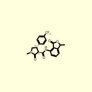 CC1OC(=O)c2c(NC(=O)[C@H]3C(=O)N(C)C[C@@H]3c3ccc(C(F)(F)F)cc3)cccc21